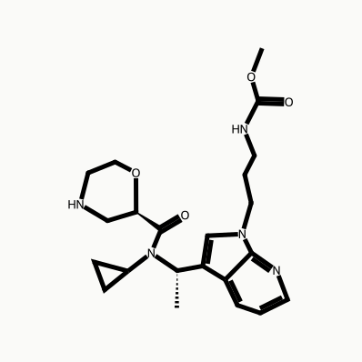 COC(=O)NCCCn1cc([C@H](C)N(C(=O)[C@H]2CNCCO2)C2CC2)c2cccnc21